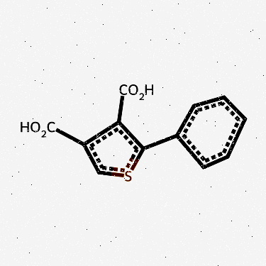 O=C(O)c1csc(-c2ccccc2)c1C(=O)O